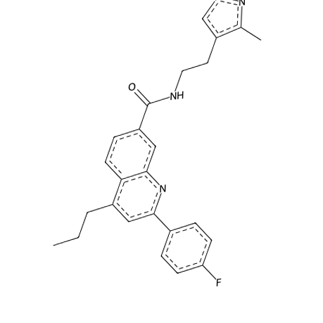 CCCc1cc(-c2ccc(F)cc2)nc2cc(C(=O)NCCc3c[nH]nc3C)ccc12